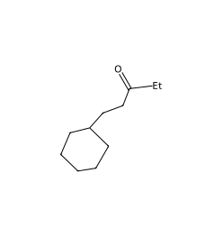 CCC(=O)CCC1CCCCC1